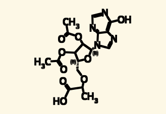 CC(=O)OC1C(OC(C)=O)[C@@H](COC(C)C(=O)O)O[C@H]1n1cnc2c(O)ncnc21